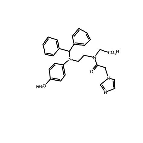 COc1ccc(N(CCN(CC(=O)O)C(=O)Cn2ccnc2)C(c2ccccc2)c2ccccc2)cc1